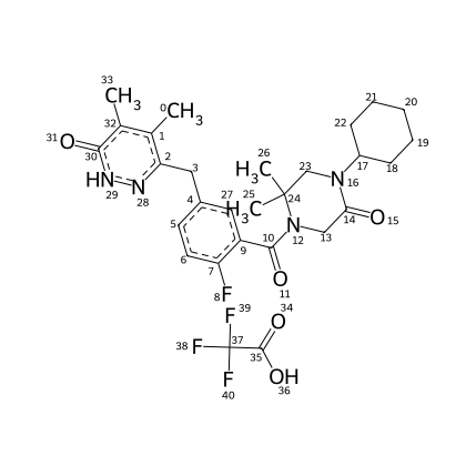 Cc1c(Cc2ccc(F)c(C(=O)N3CC(=O)N(C4CCCCC4)CC3(C)C)c2)n[nH]c(=O)c1C.O=C(O)C(F)(F)F